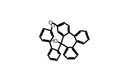 OC1(c2ccccc2-c2cccc(Cl)c2)c2ccccc2-c2ccccc2-c2ccc(Cl)cc21